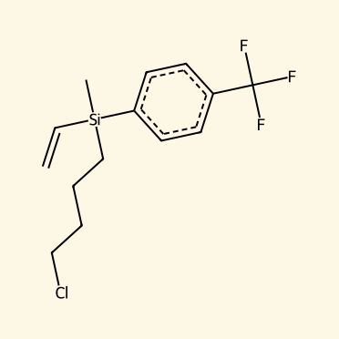 C=C[Si](C)(CCCCCl)c1ccc(C(F)(F)F)cc1